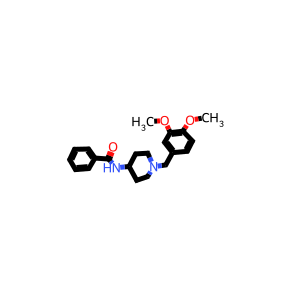 COc1ccc(CN2CCC(NC(=O)c3ccccc3)CC2)cc1OC